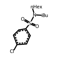 CCCCCCN(C(C)CC)S(=O)(=O)c1ccc(Cl)cc1